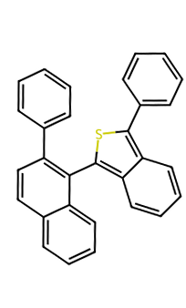 c1ccc(-c2ccc3ccccc3c2-c2sc(-c3ccccc3)c3ccccc23)cc1